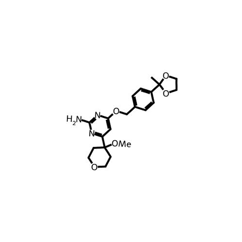 COC1(c2cc(OCc3ccc(C4(C)OCCO4)cc3)nc(N)n2)CCOCC1